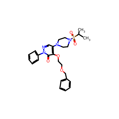 CC(C)S(=O)(=O)N1CCN(c2cnn(-c3ccccc3)c(=O)c2OCCOCc2ccccc2)CC1